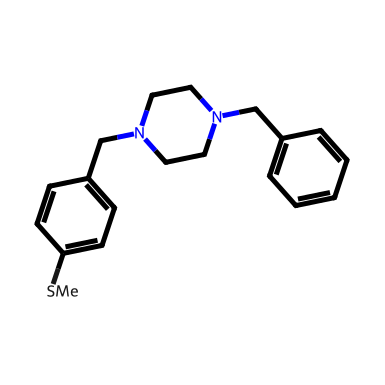 CSc1ccc(CN2CCN(Cc3ccccc3)CC2)cc1